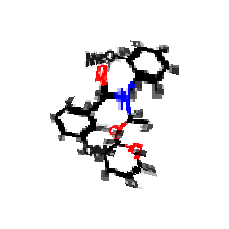 COc1cccc(C(=O)N(c2ccccc2OC)C(C)OC2CCCCO2)c1